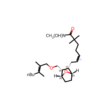 CCCCC(C)=C(C)COC[C@@H]1[C@H](C/C=C\CCC(C)(C)C(=O)N(C)O)[C@@H]2CC[C@H]1O2